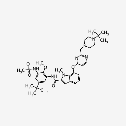 COc1c(NC(=O)c2cc3cccc(Oc4ccnc(CN5CCN(C(C)(C)C)CC5)n4)c3n2C)cc(C(C)(C)C)cc1NS(C)(=O)=O